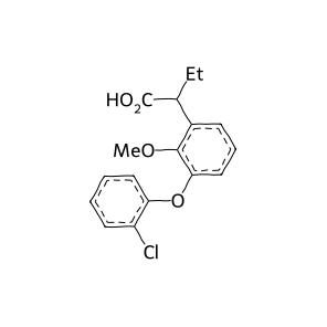 CCC(C(=O)O)c1cccc(Oc2ccccc2Cl)c1OC